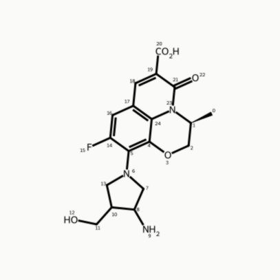 C[C@H]1COc2c(N3CC(N)C(CO)C3)c(F)cc3cc(C(=O)O)c(=O)n1c23